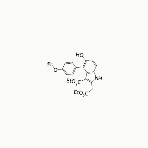 CCOC(=O)Cc1[nH]c2ccc(O)c(-c3ccc(OC(C)C)cc3)c2c1C(=O)OCC